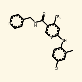 Cc1cc(Cl)ccc1Nc1cc(C(F)(F)F)c(C(=O)NCc2ccncc2)cn1